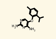 Cc1ccc(C(C)C)c(Oc2cnc(N)nc2N)c1